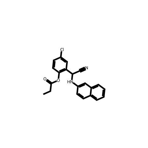 CCC(=O)Oc1ccc(Cl)cc1C(C#N)Nc1ccc2ccccc2c1